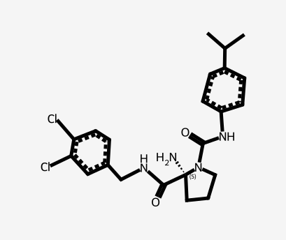 CC(C)c1ccc(NC(=O)N2CCC[C@@]2(N)C(=O)NCc2ccc(Cl)c(Cl)c2)cc1